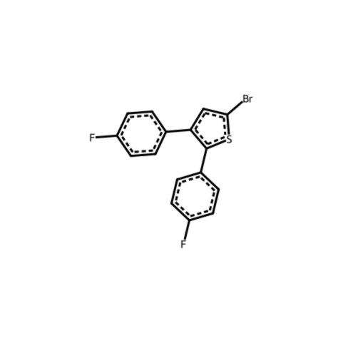 Fc1ccc(-c2cc(Br)sc2-c2ccc(F)cc2)cc1